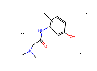 Cc1ccc(O)cc1NC(=O)CN(C)C